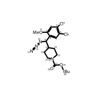 COc1cc(Cl)c(Cl)cc1C(N=[N+]=[N-])C1CCN(C(=O)OC(C)(C)C)CC1